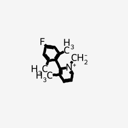 [CH2-][n+]1cccc(C)c1-c1c(C)cc(F)cc1C